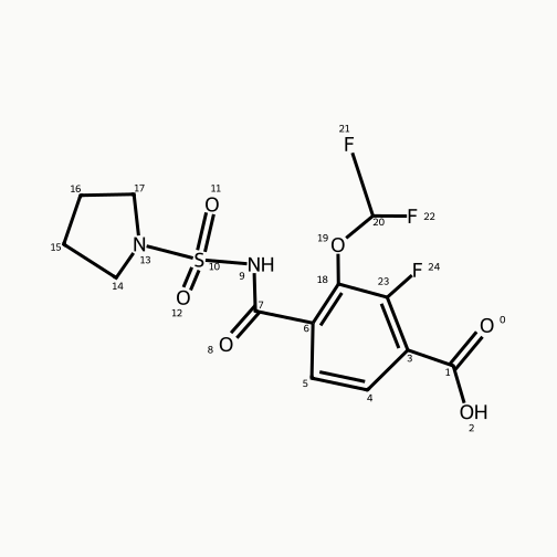 O=C(O)c1ccc(C(=O)NS(=O)(=O)N2CCCC2)c(OC(F)F)c1F